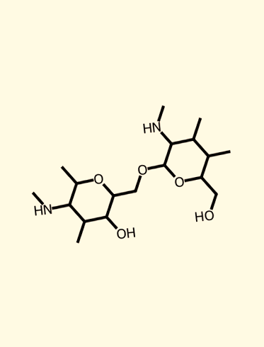 CNC1C(C)OC(COC2OC(CO)C(C)C(C)C2NC)C(O)C1C